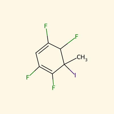 CC1(I)C(F)=C(F)C=C(F)C1F